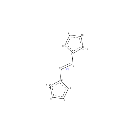 C(=C\c1cccs1)/c1cccs1